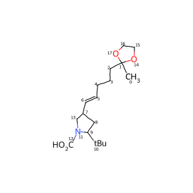 CC1(CCCC=CC2CC(C(C)(C)C)N(C(=O)O)C2)OCCO1